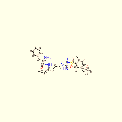 Cc1c(C)c(S(=O)(=O)NC(=N)NCCC[C@H](NC(=O)[C@@H](N)Cc2ccccc2)C(=O)O)c(C)c2c1OC(C)(C)C2